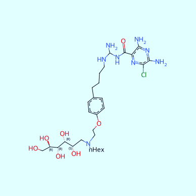 CCCCCCN(CCOc1ccc(CCCCNC(N)NC(=O)c2nc(Cl)c(N)nc2N)cc1)C[C@H](O)[C@@H](O)[C@H](O)[C@H](O)CO